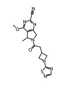 COc1nc(C#N)nc2c1C(C)N(C(=O)CC1CN(c3ncns3)C1)C2